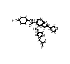 O=C(NC1CCC(O)CC1)c1cnc2sc(-c3cncs3)cc2c1Nc1cnn(CC(F)F)c1